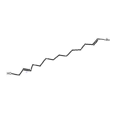 CCCCC=CCCCCCCCCC/C=C/CO